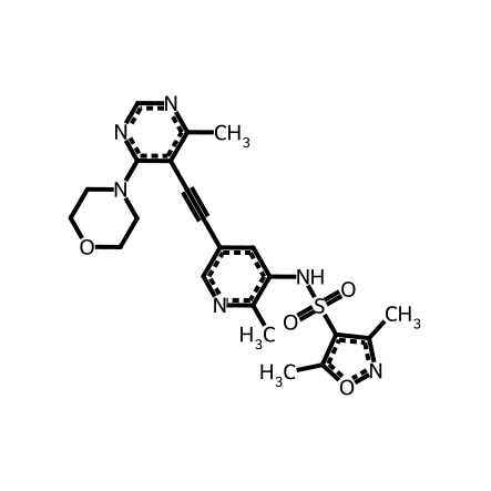 Cc1ncc(C#Cc2c(C)ncnc2N2CCOCC2)cc1NS(=O)(=O)c1c(C)noc1C